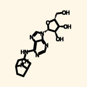 CN1C2CCC1CC(Nc1ncnc3c1ncn3[C@@H]1O[C@H](CO)[C@@H](O)[C@H]1O)C2